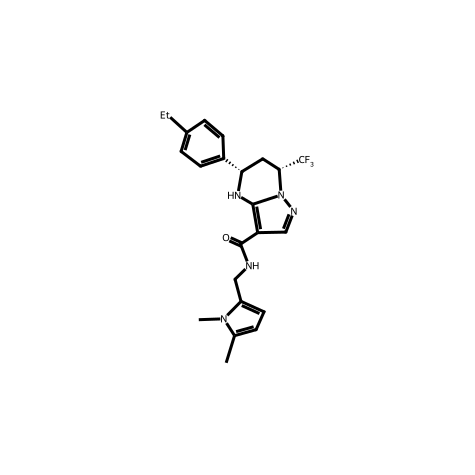 CCc1ccc([C@@H]2C[C@H](C(F)(F)F)n3ncc(C(=O)NCc4ccc(C)n4C)c3N2)cc1